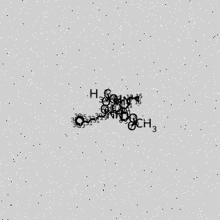 CC(=O)Oc1cccc([C@@]23CCN(CC4CC4)C[C@H]2C(OC(C)=O)C[C@H](NC(=O)CCCCCc2ccccc2)C3)c1